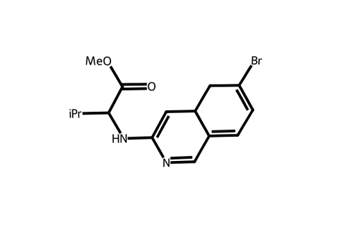 COC(=O)C(NC1=CC2CC(Br)=CC=C2C=N1)C(C)C